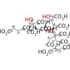 O=C(O)CC(O)(CC(=O)O)C(=O)O.O=C(O)CC(O)(CC(=O)O)C(=O)O.O=C(O)CC(O)(CC(=O)O)C(=O)O.O=C(O)CCC(=O)O.O=C(O)CCC(=O)O